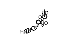 Cn1c(=O)n(C2CCC(=O)NC2=O)c2cccc(CN3CCC(N4CCNCC4)CC3)c21